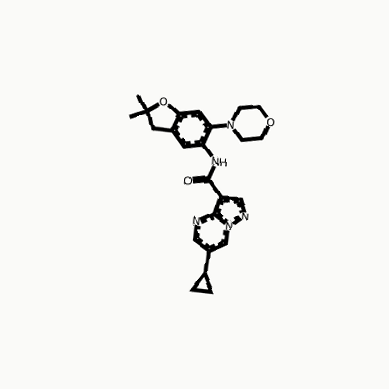 CC1(C)Cc2cc(NC(=O)c3cnn4cc(C5CC5)cnc34)c(N3CCOCC3)cc2O1